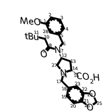 COc1cccc(CN(C(=O)CC(C)(C)C)[C@@H]2C[C@H](C(=O)O)N(Cc3ccc4c(c3)OCO4)C2)c1